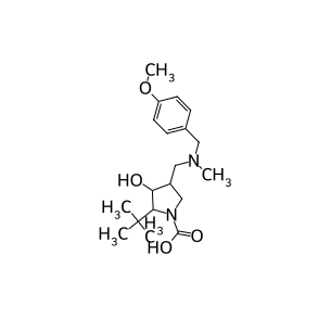 COc1ccc(CN(C)CC2CN(C(=O)O)C(C(C)(C)C)C2O)cc1